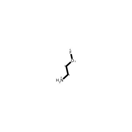 NCCOF